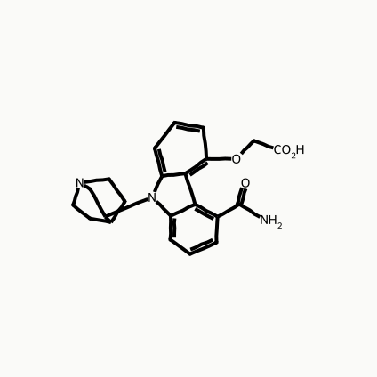 NC(=O)c1cccc2c1c1c(OCC(=O)O)cccc1n2C1CN2CCC1CC2